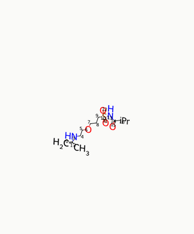 C=C(C)NCCOCCCS(=O)(=O)NC(=O)C(C)C